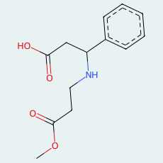 COC(=O)CCNC(CC(=O)O)c1ccccc1